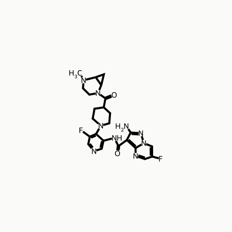 CN1CCN(C(=O)C2CCN(c3c(F)cncc3NC(=O)c3c(N)nn4cc(F)cnc34)CC2)C2CC21